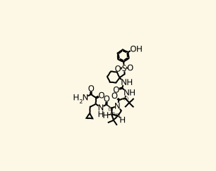 CC(C)(C)[C@H](NC(=O)NC1(CS(=O)(=O)c2cccc(O)c2)CCCCC1)C(=O)N1C[C@H]2[C@@H]([C@H]1C(=O)NC(CC1CC1)C(=O)C(N)=O)C2(C)C